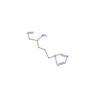 CCCCCCCC(N)CCCn1ccnc1